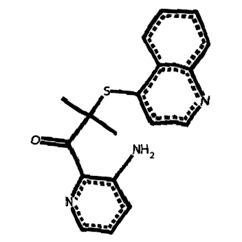 CC(C)(Sc1ccnc2ccccc12)C(=O)c1ncccc1N